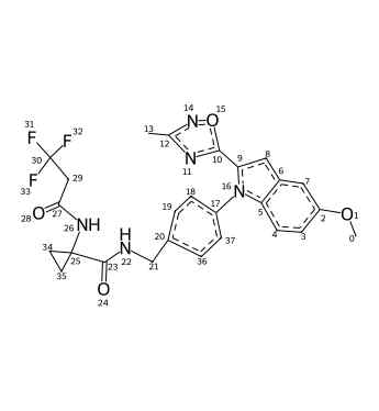 COc1ccc2c(c1)cc(-c1nc(C)no1)n2-c1ccc(CNC(=O)C2(NC(=O)CC(F)(F)F)CC2)cc1